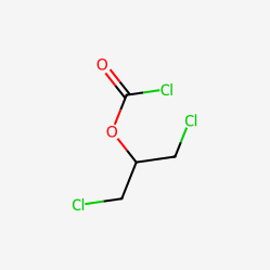 O=C(Cl)OC(CCl)CCl